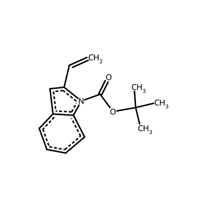 C=Cc1cc2ccccc2n1C(=O)OC(C)(C)C